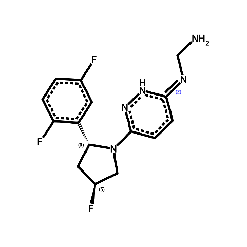 NC/N=c1/ccc(N2C[C@@H](F)C[C@@H]2c2cc(F)ccc2F)n[nH]1